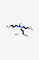 CCCCN=C(Cl)N(CCCC)CCCC.Cl